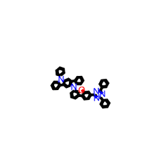 c1ccc(-c2nc(-c3ccccc3)nc(-c3ccc4c(c3)oc3c(-n5c6ccccc6c6cc7c(cc65)c5ccccc5n7-c5ccccc5)cccc34)n2)cc1